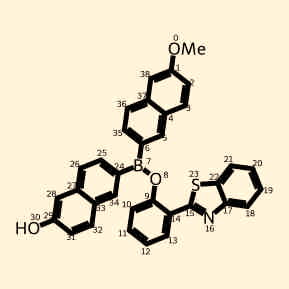 COc1ccc2cc(B(Oc3ccccc3-c3nc4ccccc4s3)c3ccc4cc(O)ccc4c3)ccc2c1